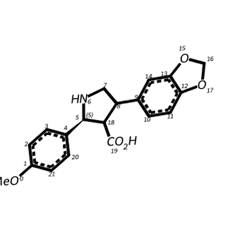 COc1ccc([C@H]2NCC(c3ccc4c(c3)OCO4)C2C(=O)O)cc1